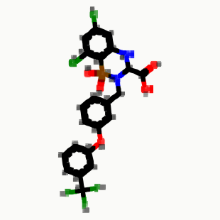 O=C(O)C1Nc2cc(Cl)cc(Cl)c2S(=O)(=O)N1Cc1cccc(Oc2cccc(C(F)(F)F)c2)c1